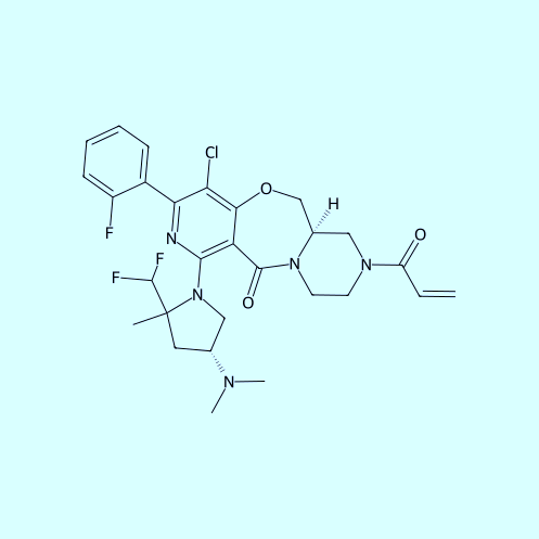 C=CC(=O)N1CCN2C(=O)c3c(N4C[C@H](N(C)C)CC4(C)C(F)F)nc(-c4ccccc4F)c(Cl)c3OC[C@H]2C1